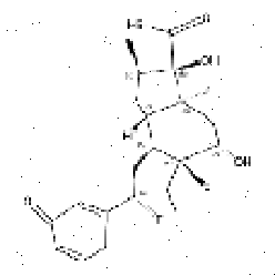 CC[C@@]1(F)[C@@H](O)C[C@@]2(C)[C@@H](C[C@@H](C)[C@]2(O)C(=O)S)[C@@H]1C[C@H](F)C1=CC(=O)C=CC1